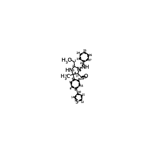 CCC1NC(C)(c2ccc(-c3ccsc3)cc2)C(C=O)N1Nc1ccccc1